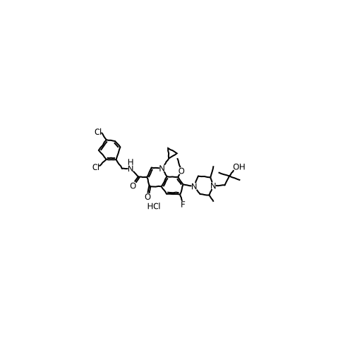 COc1c(N2CC(C)N(CC(C)(C)O)C(C)C2)c(F)cc2c(=O)c(C(=O)NCc3ccc(Cl)cc3Cl)cn(C3CC3)c12.Cl